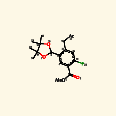 COC(=O)c1cc(B2OC(C)(C)C(C)(C)O2)c(CC(C)=O)cc1F